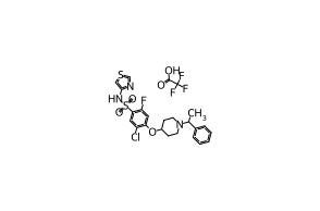 CC(c1ccccc1)N1CCC(Oc2cc(F)c(S(=O)(=O)Nc3cscn3)cc2Cl)CC1.O=C(O)C(F)(F)F